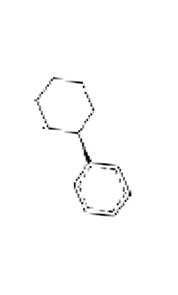 [CH]1CCCC[C@H]1c1ccccc1